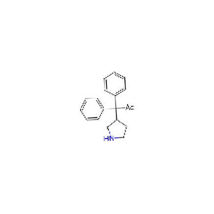 CC(=O)C(c1ccccc1)(c1ccccc1)C1CCNC1